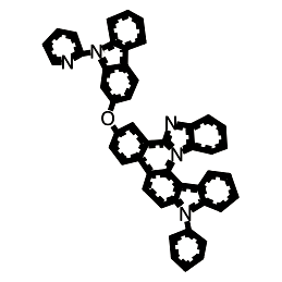 c1ccc(-n2c3ccccc3c3c2ccc2c4ccc(Oc5ccc6c7ccccc7n(-c7ccccn7)c6c5)cc4c4nc5ccccc5n4c23)cc1